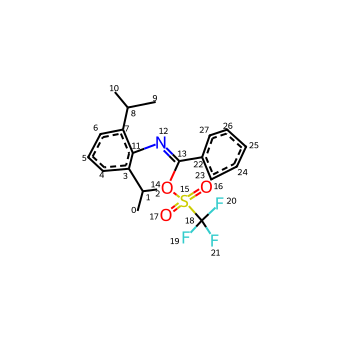 CC(C)c1cccc(C(C)C)c1N=C(OS(=O)(=O)C(F)(F)F)c1ccccc1